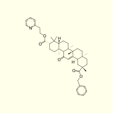 CC1(C)[C@@H](C(=O)OCCc2ccccn2)CC[C@]2(C)C3C(=O)C=C4[C@@H]5C[C@@](C)(C(=O)OCc6ccccc6)CC[C@]5(C)CC[C@@]4(C)[C@]3(C)CC[C@@H]12